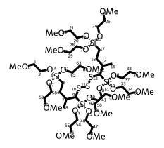 COCCO[Si](CCC(C)C(SSSC(C(C)CC[Si](OCCOC)(OCCOC)OCCOC)[Si](OCCOC)(OCCOC)OCCOC)[Si](OCCOC)(OCCOC)OCCOC)(OCCOC)OCCOC